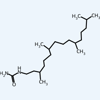 CC(C)CCCC(C)CCCC(C)CCCC(C)CCNC(N)=O